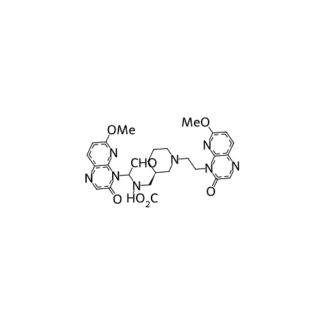 COc1ccc2ncc(=O)n(CCN3CCC[C@H](CN(C(=O)O)C(C=O)n4c(=O)cnc5ccc(OC)nc54)C3)c2n1